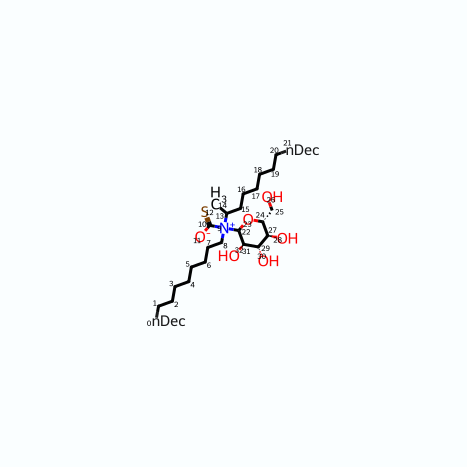 CCCCCCCCCCCCCCCCCC[N+](C([O-])=S)(C(C)CCCCCCCCCCCCCCCC)C1O[C@H](CO)[C@@H](O)[C@H](O)[C@H]1O